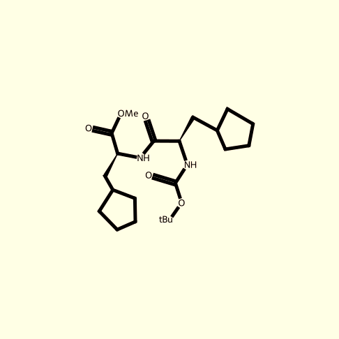 COC(=O)[C@H](CC1CCCC1)NC(=O)[C@@H](CC1CCCC1)NC(=O)OC(C)(C)C